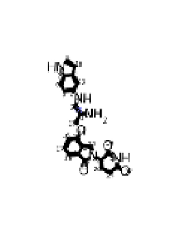 N/C(=C\Nc1ccc2[nH]ccc2c1)COc1cccc2c1CN(C1CCC(=O)NC1=O)C2=O